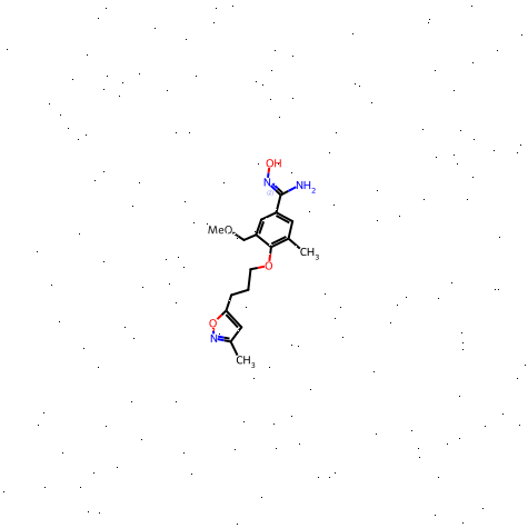 COCc1cc(/C(N)=N/O)cc(C)c1OCCCc1cc(C)no1